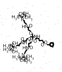 CN(C)C(=NCCCNC(=O)CCOCC(COCCC(=O)NCCCN=C(N(C)C)N(C)C)(COCCC(=O)NCCCN=C(N(C)C)N(C)C)NC(=O)CCCC(=O)OCc1ccccc1)N(C)C